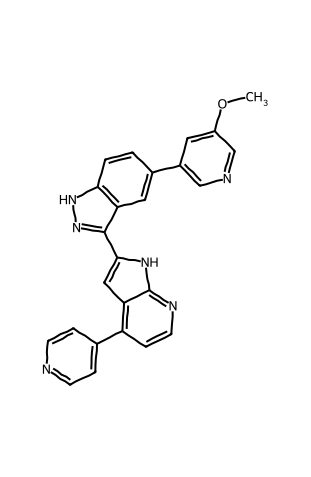 COc1cncc(-c2ccc3[nH]nc(-c4cc5c(-c6ccncc6)ccnc5[nH]4)c3c2)c1